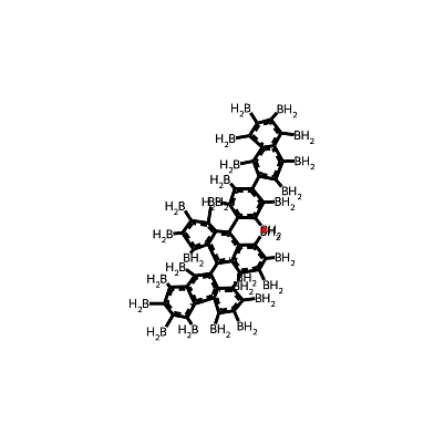 Bc1c(B)c(-c2c3c(B)c(B)c(B)c(B)c3c(-c3c(B)c4c(B)c(B)c(B)c(B)c4c4c(B)c(B)c(B)c(B)c34)c3c(B)c(B)c(B)c(B)c23)c(B)c(B)c1-c1c(B)c(B)c2c(B)c(B)c(B)c(B)c2c1B